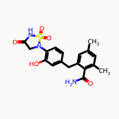 Cc1cc(C)c(C(N)=O)c(Cc2ccc(N3CC(=O)NS3(=O)=O)c(O)c2)c1